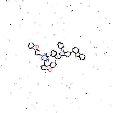 c1ccc(-c2nc(-c3ccc4c(c3)oc3ccccc34)nc(-c3cccc4oc5ccc(-c6ccc7c(c6)c6ccc(-c8cccc9c8sc8ccccc89)cc6n7-c6ccccc6)cc5c34)n2)cc1